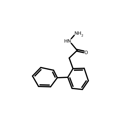 NNC(=O)Cc1ccccc1-c1ccccc1